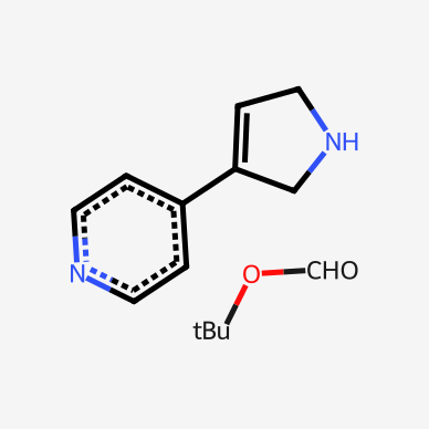 C1=C(c2ccncc2)CNC1.CC(C)(C)OC=O